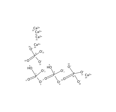 O=P([O-])([O-])O.O=P([O-])([O-])O.O=P([O-])([O-])[O-].O=P([O-])([O-])[O-].[Ca+2].[Ca+2].[Ca+2].[Ca+2].[Ca+2]